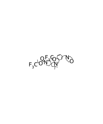 CC(OC(=O)N1CCC2(CC1)CN(Cc1cc(CN3CCOCC3)ccc1OC(F)(F)F)C(C)(C)C2)C(F)(F)F